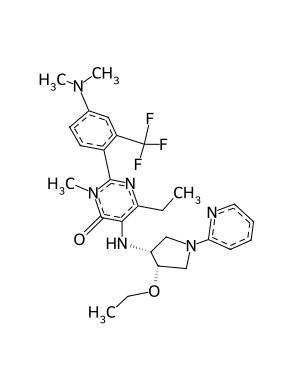 CCO[C@H]1CN(c2ccccn2)C[C@H]1Nc1c(CC)nc(-c2ccc(N(C)C)cc2C(F)(F)F)n(C)c1=O